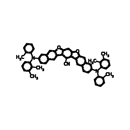 Cc1ccccc1N(c1ccc2cc3c(cc2c1)oc1cc2oc4cc5cc(N(c6ccccc6C)c6cccc(C)c6C)ccc5cc4c2c(C#N)c13)c1cccc(C)c1C